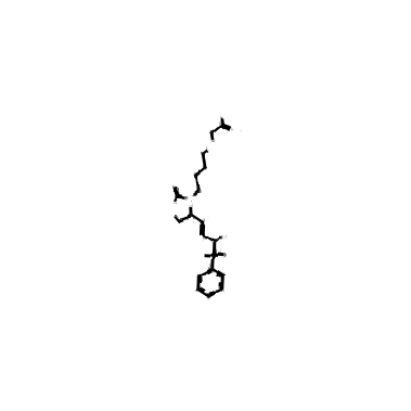 O=C(O)COCCCCN1C(=O)SCC1C=CC(O)C(F)(F)c1ccccc1